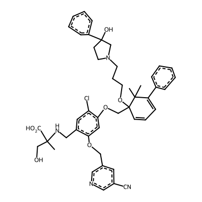 CC(CO)(NCc1cc(Cl)c(OCC2(OCCCN3CCC(O)(c4ccccc4)C3)C=CC=C(c3ccccc3)C2(C)C)cc1OCc1cncc(C#N)c1)C(=O)O